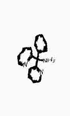 NC(c1ccccc1)(c1ccccn1)c1ccccn1